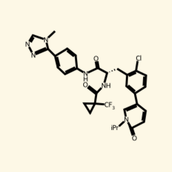 CC(C)n1cc(-c2ccc(Cl)c(C[C@H](NC(=O)C3(C(F)(F)F)CC3)C(=O)Nc3ccc(-c4nncn4C)cc3)c2)ccc1=O